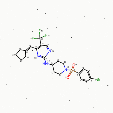 O=S(=O)(c1ccc(Br)cc1)N1CCC(Nc2ncc(C(F)(F)F)c(C=C3CCCC3)n2)CC1